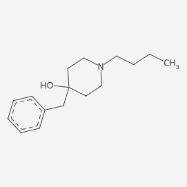 CCCCN1CCC(O)(Cc2ccccc2)CC1